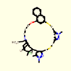 CCc1c2c3n(c1C(=O)O)CCCOc1cc(cc4ccccc14)SCc1cc(nn1C)CSCc1nn(C)c(C)c1[C@H]2C(C)(Cl)C=C3